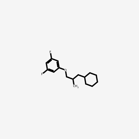 CC(COc1cc(F)cc(F)c1)CC1CCCCC1